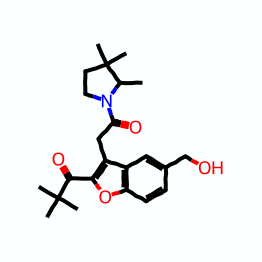 CC1N(C(=O)Cc2c(C(=O)C(C)(C)C)oc3ccc(CO)cc23)CCC1(C)C